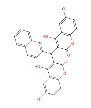 O=c1oc2ccc(Cl)cc2c(O)c1C(c1ccc2ccccc2n1)c1c(O)c2cc(Cl)ccc2oc1=O